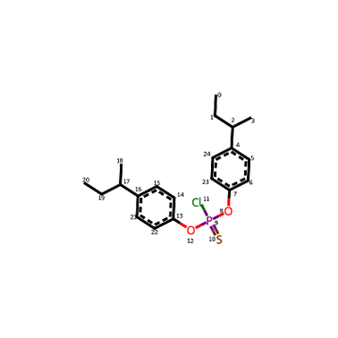 CCC(C)c1ccc(OP(=S)(Cl)Oc2ccc(C(C)CC)cc2)cc1